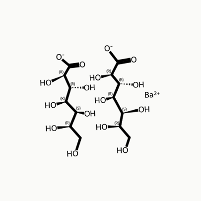 O=C([O-])[C@H](O)[C@H](O)[C@H](O)[C@@H](O)[C@H](O)CO.O=C([O-])[C@H](O)[C@H](O)[C@H](O)[C@@H](O)[C@H](O)CO.[Ba+2]